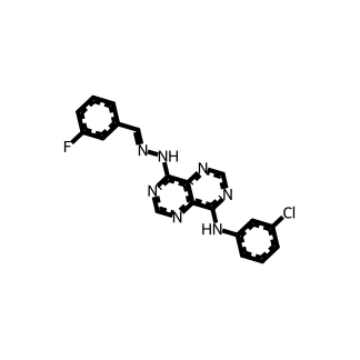 Fc1cccc(C=NNc2ncnc3c(Nc4cccc(Cl)c4)ncnc23)c1